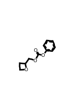 O=C(OCC1CCO1)Oc1ccccc1